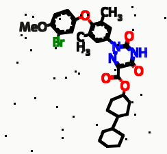 COc1ccc(Oc2c(C)cc(-n3nc(C(=O)OC4CCC(C5CCCCC5)CC4)c(=O)[nH]c3=O)cc2C)cc1Br